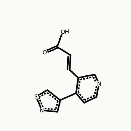 O=C(O)C=Cc1cnccc1-c1cnsc1